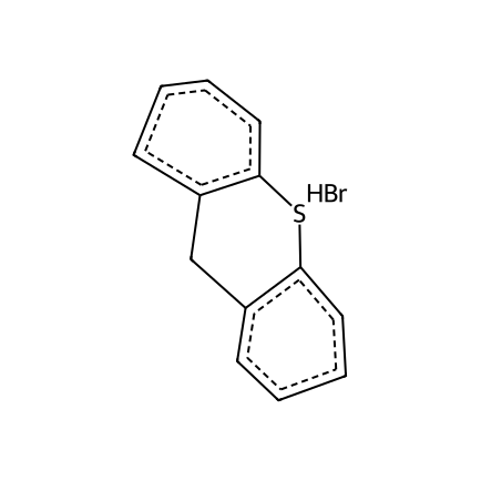 Br.c1ccc2c(c1)Cc1ccccc1S2